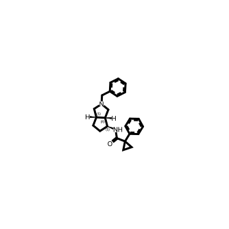 O=C(N[C@H]1CC[C@@H]2CN(Cc3ccccc3)C[C@@H]21)C1(c2ccccc2)CC1